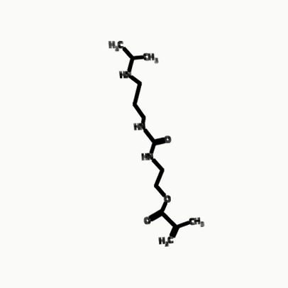 C=C(C)C(=O)OCCNC(=O)NCCCNC(C)C